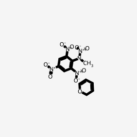 C1=CCOC=C1.CN(c1c([N+](=O)[O-])cc([N+](=O)[O-])cc1[N+](=O)[O-])[N+](=O)[O-]